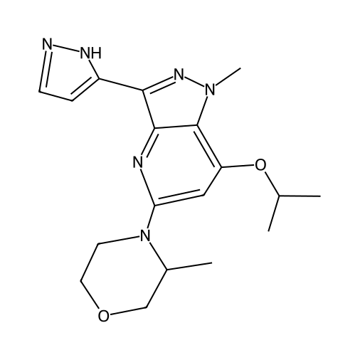 CC(C)Oc1cc(N2CCOCC2C)nc2c(-c3ccn[nH]3)nn(C)c12